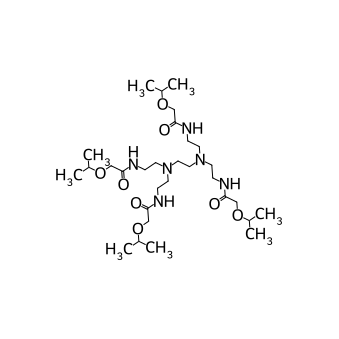 CC(C)OCC(=O)NCCN(CCNC(=O)COC(C)C)CCN(CCNC(=O)COC(C)C)CCNC(=O)COC(C)C